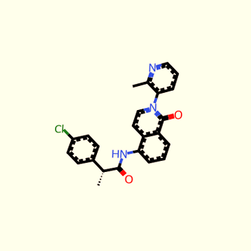 Cc1ncccc1-n1ccc2c(NC(=O)[C@H](C)c3ccc(Cl)cc3)cccc2c1=O